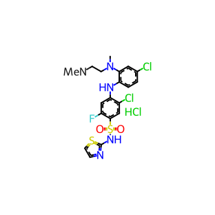 CNCCN(C)c1cc(Cl)ccc1Nc1cc(F)c(S(=O)(=O)Nc2nccs2)cc1Cl.Cl